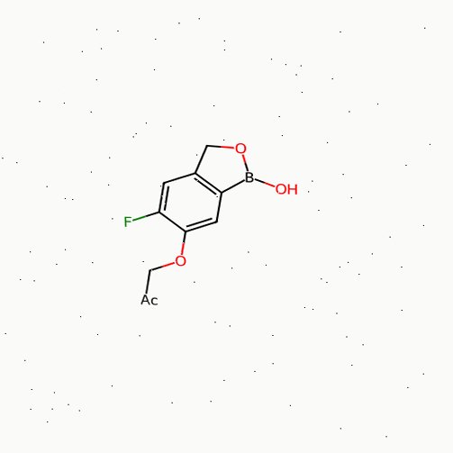 CC(=O)COc1cc2c(cc1F)COB2O